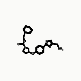 NCc1cnc(-c2ccc(OC3CCN(C(=O)OCc4ccccc4)C3)cc2)s1